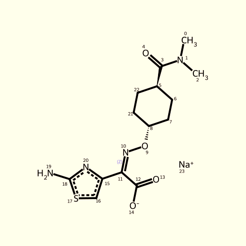 CN(C)C(=O)[C@H]1CC[C@H](O/N=C(\C(=O)[O-])c2csc(N)n2)CC1.[Na+]